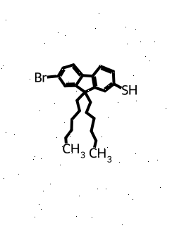 CCCCCCC1(CCCCCC)c2cc(S)ccc2-c2ccc(Br)cc21